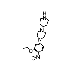 CCOc1cc(N2CCN(C3CCNCC3)CC2)ccc1N=O